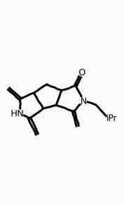 C=C1NC(=C)C2C1CC1C(=O)N(CC(C)C)C(=C)C12